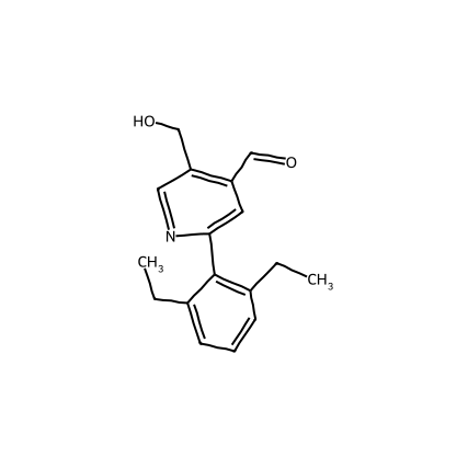 CCc1cccc(CC)c1-c1cc(C=O)c(CO)cn1